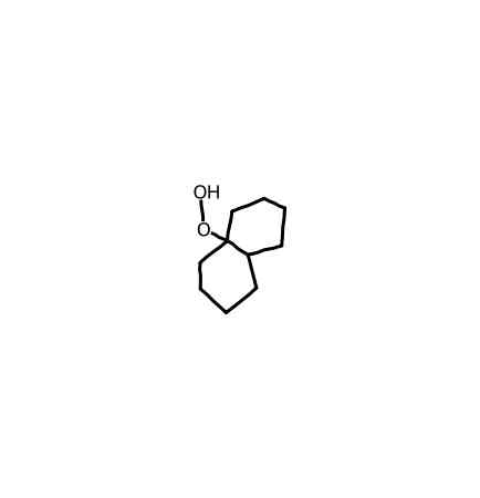 OOC12CCCCC1CCCC2